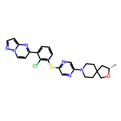 C[C@H]1CC2(CCN(c3cnc(Sc4cccc(-c5ccn6nccc6n5)c4Cl)cn3)CC2)CO1